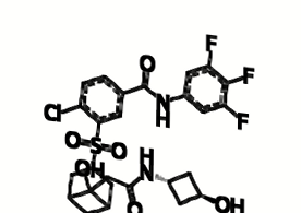 O=C(CC1(O)C2CC1CC(S(=O)(=O)c1cc(C(=O)Nc3cc(F)c(F)c(F)c3)ccc1Cl)C2)N[C@H]1C[C@H](O)C1